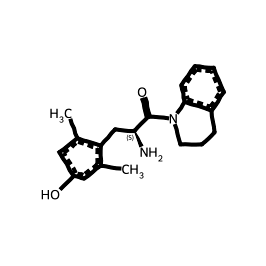 Cc1cc(O)cc(C)c1C[C@H](N)C(=O)N1CCCc2ccccc21